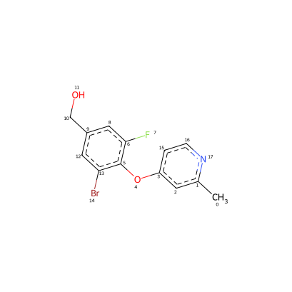 Cc1cc(Oc2c(F)cc(CO)cc2Br)ccn1